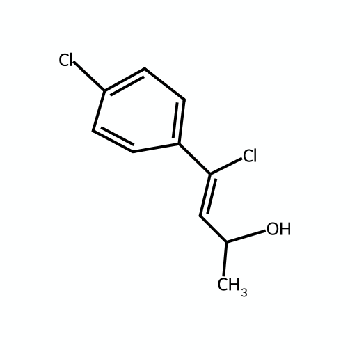 CC(O)/C=C(\Cl)c1ccc(Cl)cc1